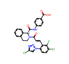 O=C(O)c1ccc(NC(=O)[C@@H]2c3ccccc3CCN2C(=O)/C=C/c2c(-n3cc(Cl)nn3)ccc(Cl)c2F)cc1